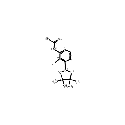 CC1(C)OB(c2ccnc(NC(=O)O)c2F)OC1(C)C